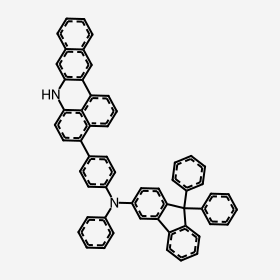 c1ccc(N(c2ccc(-c3ccc4c5c(cccc35)-c3cc5ccccc5cc3N4)cc2)c2ccc3c(c2)-c2ccccc2C3(c2ccccc2)c2ccccc2)cc1